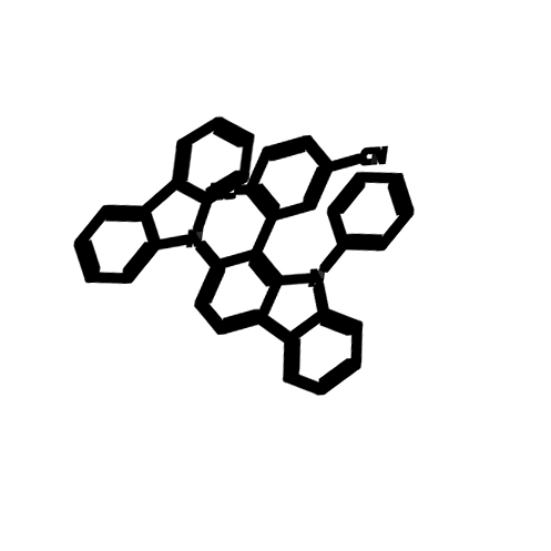 N#Cc1ccc(C#N)c(-c2c(-n3c4ccccc4c4ccccc43)ccc3c4ccccc4n(-c4ccccc4)c23)c1